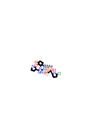 COc1cccc(O)c1-n1c(NS(=O)(=O)[C@@H](C)[C@H](O)c2cccc(Cl)n2)nnc1C1=C=C=CN=C1